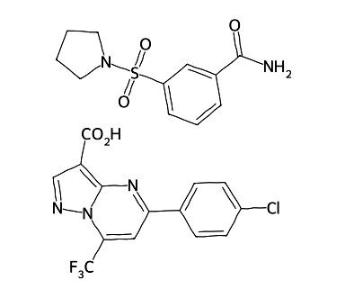 NC(=O)c1cccc(S(=O)(=O)N2CCCC2)c1.O=C(O)c1cnn2c(C(F)(F)F)cc(-c3ccc(Cl)cc3)nc12